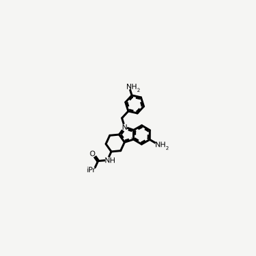 CC(C)C(=O)NC1CCc2c(c3cc(N)ccc3n2Cc2cccc(N)c2)C1